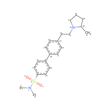 CCN(CC)S(=O)(=O)c1ccc(-c2ccc(CCN3CCCC3C)cc2)cc1